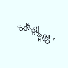 Nc1ccccc1NC(=O)c1ccc(Nc2ncc(-c3cnc4cc(OC5CCC5)ccn34)s2)s1